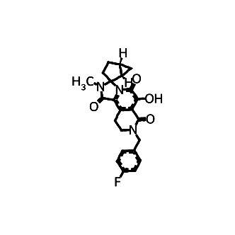 CN1C(=O)c2c3c(c(O)c(=O)n2C12CC[C@@H]1C[C@@H]12)C(=O)N(Cc1ccc(F)cc1)CC3